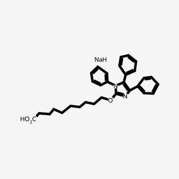 O=C(O)CCCCCCCCCOc1nc(-c2ccccc2)c(-c2ccccc2)n1-c1ccccc1.[NaH]